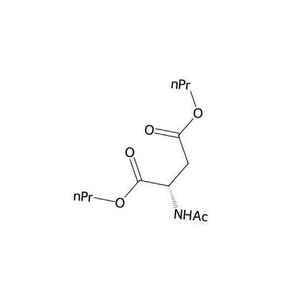 CCCOC(=O)C[C@H](NC(C)=O)C(=O)OCCC